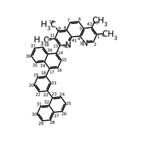 Cc1cnc2c(ccc3c(C)c(C)c(-c4ccc(-c5cccc(-c6cccc7ccccc67)c5)c5ccccc45)nc32)c1C